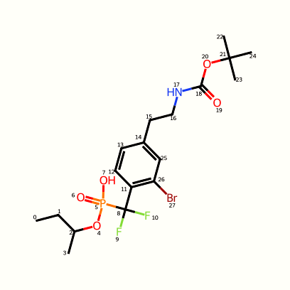 CCC(C)OP(=O)(O)C(F)(F)c1ccc(CCNC(=O)OC(C)(C)C)cc1Br